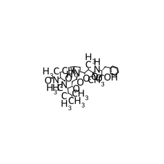 CC[C@H](C)[C@@H]([C@@H](CC(=O)N1[C@H]2CC2C[C@H]1[C@H](OC)[C@@H](C)C(=O)N[C@@H](Cc1ccccc1)C(=O)O)OC)N(C)C(=O)[C@@H](NC=O)C(C)C